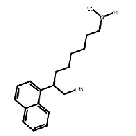 CCN(CC)CCCCCCC(CO)c1cccc2ccccc12